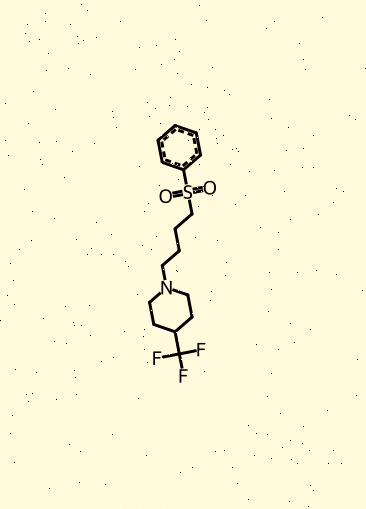 O=S(=O)(CCCCN1CCC(C(F)(F)F)CC1)c1ccccc1